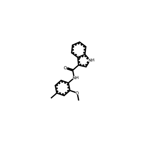 COc1cc(C)ccc1NC(=O)c1c[nH]c2ccccc12